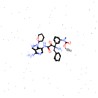 CN(C(=O)OC(C)(C)C)c1cccc(C(N)(Cc2ccccc2)C(=O)C(=O)Nc2cnc(N)c3cnn(C4CCCCO4)c23)c1